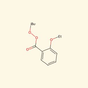 CCOc1ccccc1C(=O)OO[C](C)CC